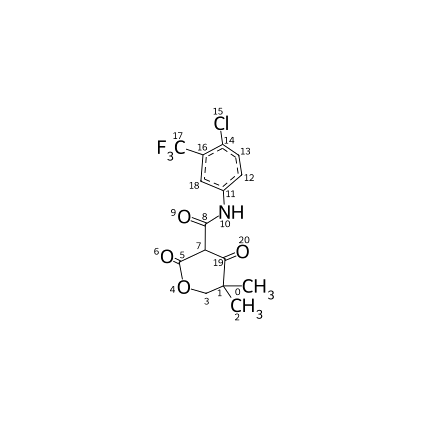 CC1(C)COC(=O)C(C(=O)Nc2ccc(Cl)c(C(F)(F)F)c2)C1=O